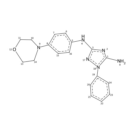 Nc1nc(Nc2ccc(N3CCOCC3)cc2)nn1-c1ccccc1